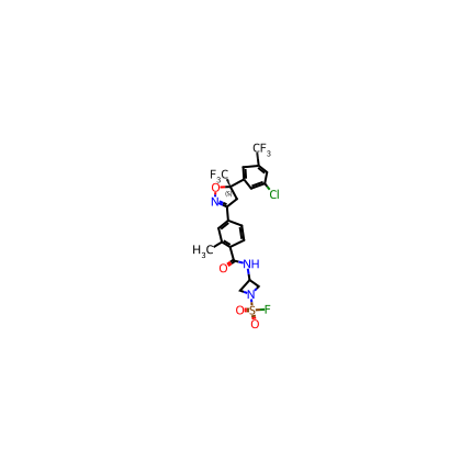 Cc1cc(C2=NO[C@@](c3cc(Cl)cc(C(F)(F)F)c3)(C(F)(F)F)C2)ccc1C(=O)NC1CN(S(=O)(=O)F)C1